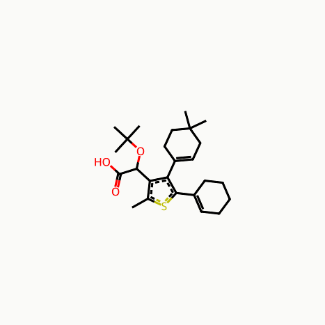 Cc1sc(C2=CCCCC2)c(C2=CCC(C)(C)CC2)c1C(OC(C)(C)C)C(=O)O